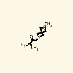 CC(C)C(=O)CN1CC2(CN(C)C2)C1